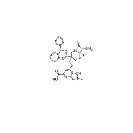 CN1C=C2N=C(C(=O)O)C=C(SCC3(C(=O)OC(c4ccccc4)c4ccccc4)CS[C@@H]4C(N)C(=O)N4C3)N2N1